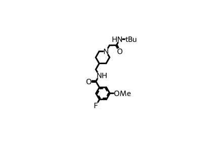 COc1cc(F)cc(C(=O)NCC2CCN(CC(=O)NC(C)(C)C)CC2)c1